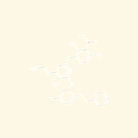 CCOC(=O)COc1nc(Oc2ccc(C)c(C(N)=O)c2C)nc(Oc2cc(C#N)ccc2OCc2ccccc2)c1[N+](=O)[O-]